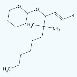 CCCCCCC(C)(C)C(C=CI)OC1CCCCO1